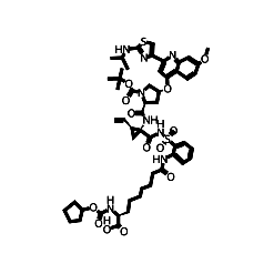 C=C[C@@H]1C[C@]1(NC(=O)[C@@H]1C[C@@H](Oc2cc(-c3csc(NC(C)C)n3)nc3cc(OC)ccc23)CN1C(=O)OC(C)(C)C)C(=O)NS(=O)(=O)c1ccccc1NC(=O)CCCCCC[C@H](NC(=O)OC1CCCC1)C(=O)O